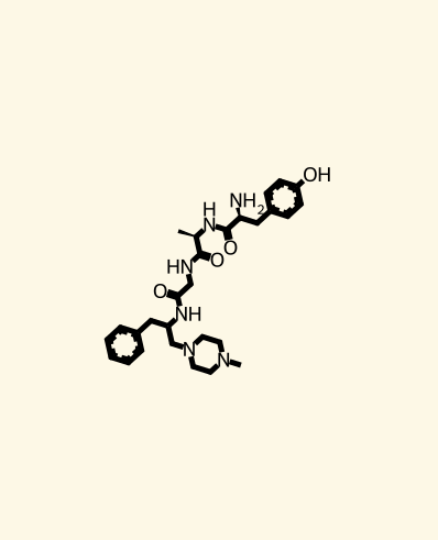 C[C@@H](NC(=O)[C@@H](N)Cc1ccc(O)cc1)C(=O)NCC(=O)NC(Cc1ccccc1)CN1CCN(C)CC1